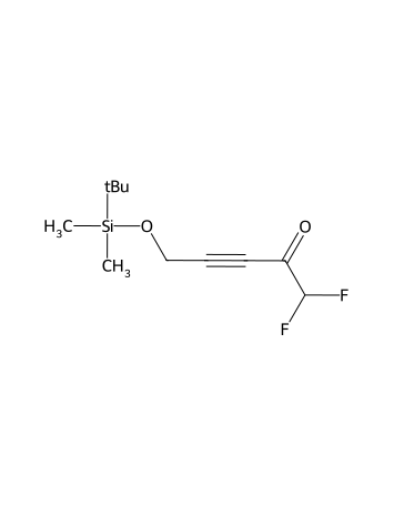 CC(C)(C)[Si](C)(C)OCC#CC(=O)C(F)F